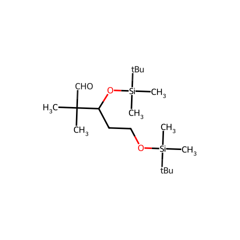 CC(C)(C=O)C(CCO[Si](C)(C)C(C)(C)C)O[Si](C)(C)C(C)(C)C